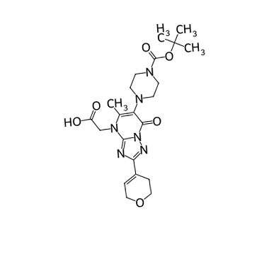 Cc1c(N2CCN(C(=O)OC(C)(C)C)CC2)c(=O)n2nc(C3=CCOCC3)nc2n1CC(=O)O